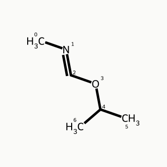 C/N=[C]/OC(C)C